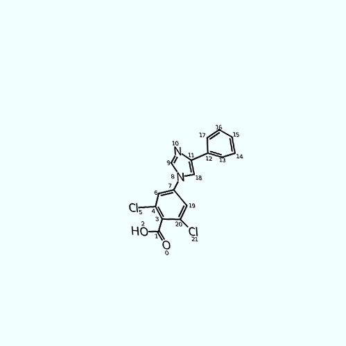 O=C(O)c1c(Cl)cc(-n2cnc(-c3ccccc3)c2)cc1Cl